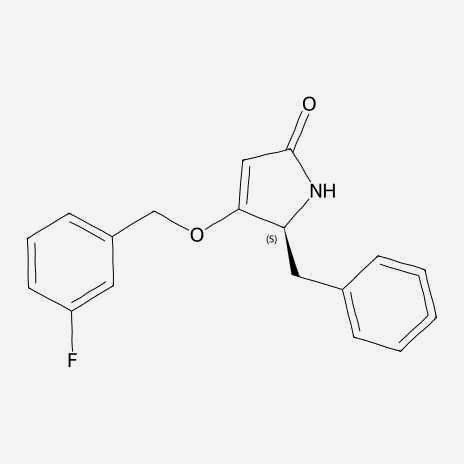 O=C1C=C(OCc2cccc(F)c2)[C@H](CC2=CC=C=C=C2)N1